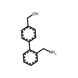 NCc1ccccc1-c1ccc(CO)cc1